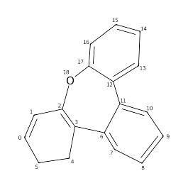 C1=CC2=C(CC1)c1ccccc1-c1ccccc1O2